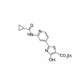 CCOC(=O)c1sc(-c2ccnc(NC(=O)C3CC3)c2)nc1O